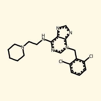 Clc1cccc(Cl)c1Cn1cnc(NCCN2CCCCC2)c2ncnc1-2